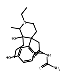 CCCC1(O)C(C)N(CC)CCC1(CC(=O)NC(N)=O)c1cc(O)ccc1C